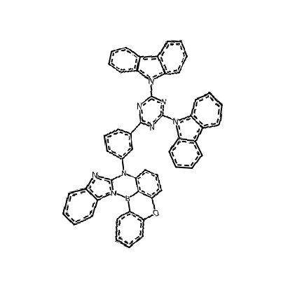 c1cc(-c2nc(-n3c4ccccc4c4ccccc43)nc(-n3c4ccccc4c4ccccc43)n2)cc(N2c3cccc4c3B(c3ccccc3O4)n3c2nc2ccccc23)c1